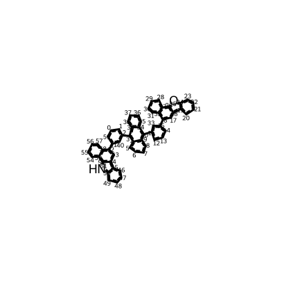 c1cc(-c2c3ccccc3c(-c3cccc(-c4cc5c6ccccc6oc5c5ccccc45)c3)c3ccccc23)cc(-c2cc3c4ccccc4[nH]c3c3ccccc23)c1